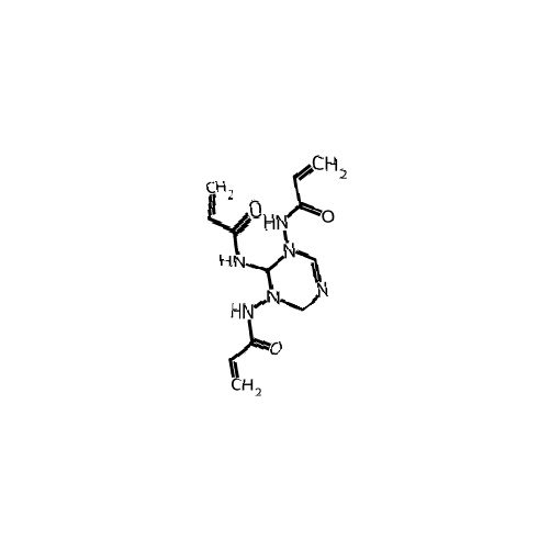 C=CC(=O)NC1N(NC(=O)C=C)C=NCN1NC(=O)C=C